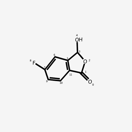 O=C1OC(O)c2cc(F)ccc21